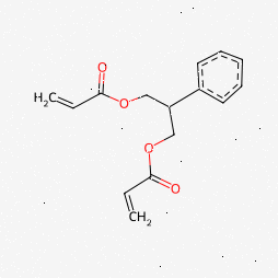 C=CC(=O)OCC(COC(=O)C=C)c1ccccc1